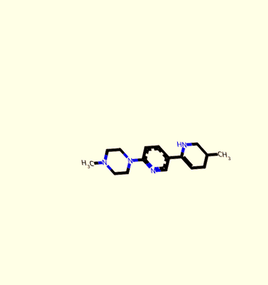 CC1CC=C(c2ccc(N3CCN(C)CC3)nc2)NC1